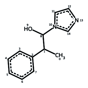 CC(c1ccccc1)C(O)n1ccnc1